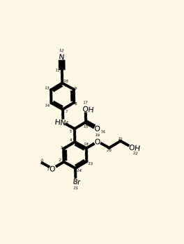 COc1cc(C(Nc2ccc(C#N)cc2)C(=O)O)c(OCCO)cc1Br